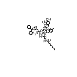 CCCCCCCC(=O)NCCCC[C@H](NC(=O)[C@@H](N)Cc1cn(C(c2ccccc2)c2ccccc2)cn1)C(=O)N[C@H](Cc1ccc(C)cc1)C(=O)N[C@@H](Cc1ccc(O)c(Cl)c1)C(=O)O